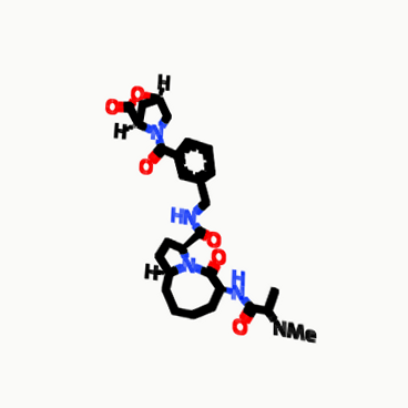 CNC(C)C(=O)N[C@H]1CCCC[C@H]2CC[C@@H](C(=O)NCc3cccc(C(=O)N4C[C@H]5C[C@@H]4C(=O)O5)c3)N2C1=O